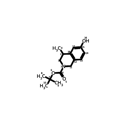 CC1CN(C(=O)OC(C)(C)C)Cc2ccc(O)cc21